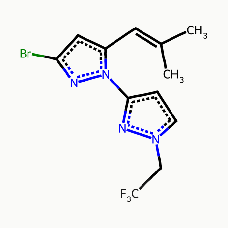 CC(C)=Cc1cc(Br)nn1-c1ccn(CC(F)(F)F)n1